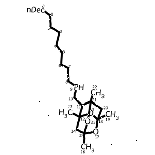 CCCCCCCCCCCCCCCCCCPCC1C2(C)CC3(C)OC(C)(CC1(C)O3)O2